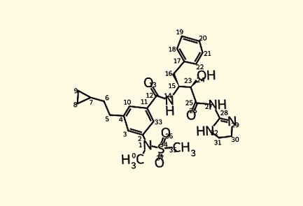 CN(c1cc(CCC2CC2)cc(C(=O)N[C@@H](Cc2ccccc2)[C@@H](O)C(=O)NC2=NCCN2)c1)S(C)(=O)=O